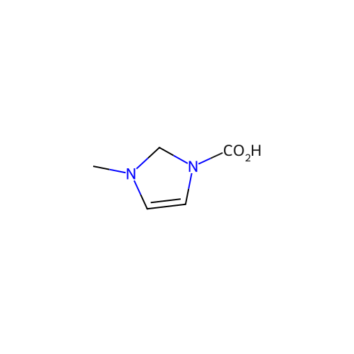 CN1C=CN(C(=O)O)C1